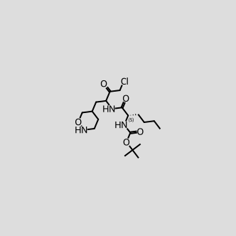 CCCC[C@H](NC(=O)OC(C)(C)C)C(=O)NC(CC1CCNOC1)C(=O)CCl